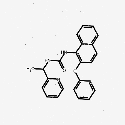 CC(NC(=O)Nc1c(Oc2ccccc2)ccc2ccccc12)c1ccccn1